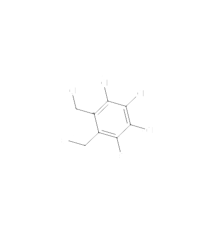 ClCc1c(Cl)c(Cl)c(Cl)c(Cl)c1CCl